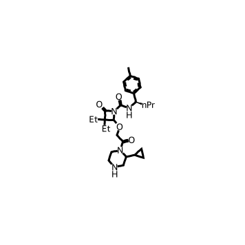 CCC[C@@H](NC(=O)N1C(=O)C(CC)(CC)C1OCC(=O)N1CCNCC1C1CC1)c1ccc(C)cc1